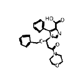 O=C(O)c1ncn([C@H](CCc2ccccc2)CC(=O)N2CCOCC2)c1-c1ccccc1